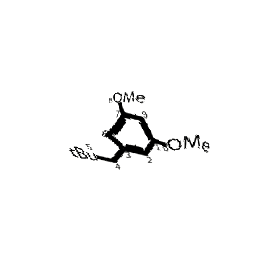 COc1cc(CC(C)(C)C)cc(OC)c1